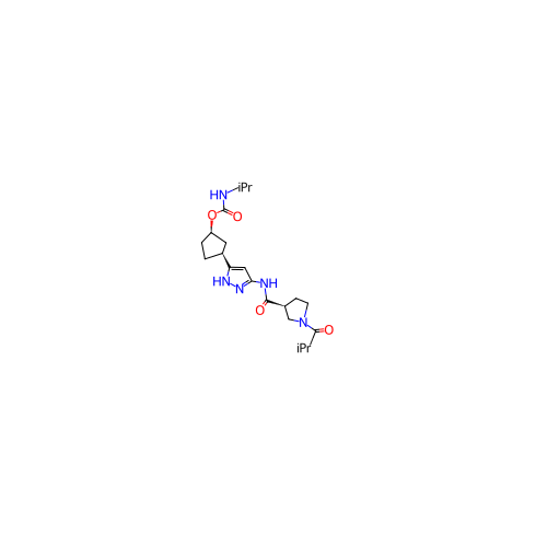 CC(C)NC(=O)O[C@@H]1CC[C@H](c2cc(NC(=O)[C@H]3CCN(C(=O)C(C)C)C3)n[nH]2)C1